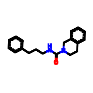 O=C(NCCCc1ccccc1)N1CCc2ccccc2C1